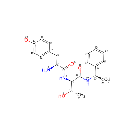 C[C@H](O)[C@@H](NC(=O)[C@@H](N)Cc1ccc(O)cc1)C(=O)N[C@H](C(=O)O)c1ccccc1